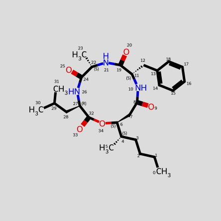 CCCC[C@H](C)[C@@H]1CC(=O)N[C@@H](Cc2ccccc2)C(=O)N[C@@H](C)C(=O)N[C@H](CC(C)C)C(=O)O1